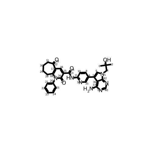 CC(C)(O)Cn1cc(-c2ccc(NC(=O)c3cc4c(n(-c5ccccc5)c3=O)CCCCC4=O)nc2)c2c(N)ncnc21